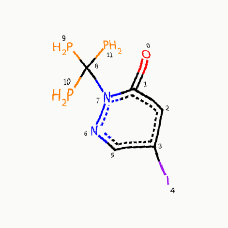 O=c1cc(I)cnn1C(P)(P)P